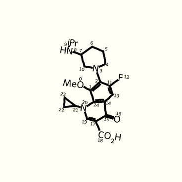 COc1c(N2CCCC(NC(C)C)C2)c(F)cc2c(=O)c(C(=O)O)cn(C3CC3)c12